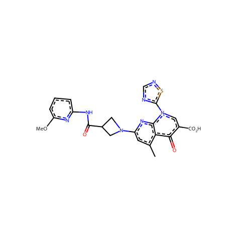 COc1cccc(NC(=O)C2CN(c3cc(C)c4c(=O)c(C(=O)O)cn(-c5ncns5)c4n3)C2)n1